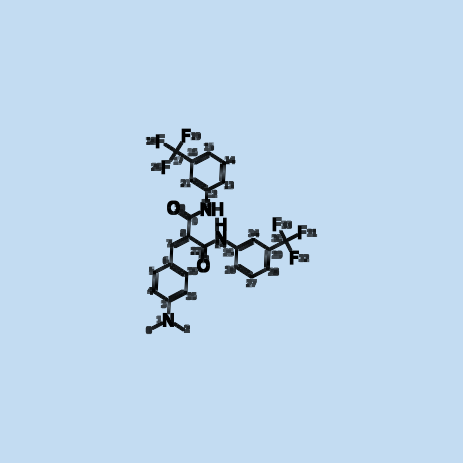 CN(C)c1ccc(C=C(C(=O)Nc2cccc(C(F)(F)F)c2)C(=O)Nc2cccc(C(F)(F)F)c2)cc1